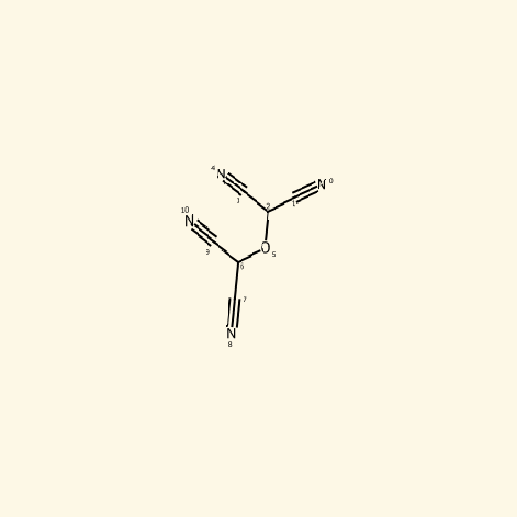 N#CC(C#N)OC(C#N)C#N